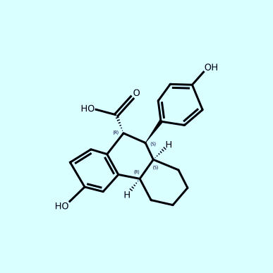 O=C(O)[C@H]1c2ccc(O)cc2[C@@H]2CCCC[C@@H]2[C@@H]1c1ccc(O)cc1